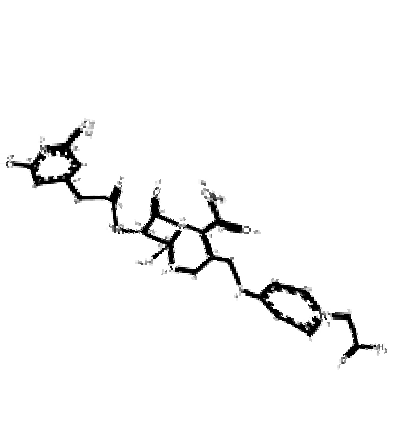 NC(=O)C[n+]1ccc(SCC2=C(C(=O)O)N3C(=O)[C@H](NC(=S)Cc4cc(Cl)nc(Cl)c4)[C@H]3SC2)cc1